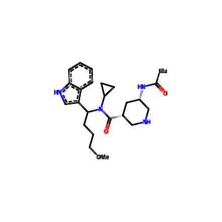 COCCCC(c1c[nH]c2ccccc12)N(C(=O)[C@H]1CNC[C@@H](NC(=O)C(C)(C)C)C1)C1CC1